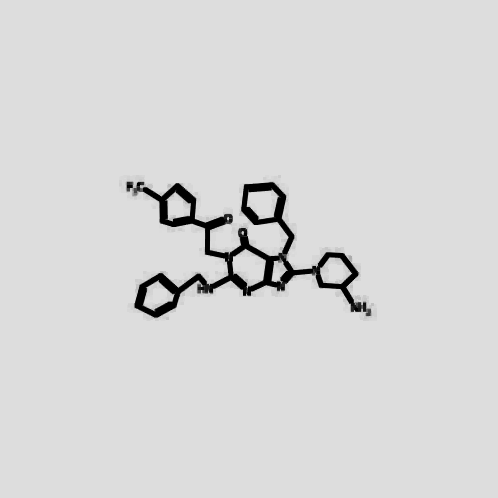 NC1CCCN(c2nc3nc(NCc4ccccc4)n(CC(=O)c4ccc(C(F)(F)F)cc4)c(=O)c3n2Cc2ccccc2)C1